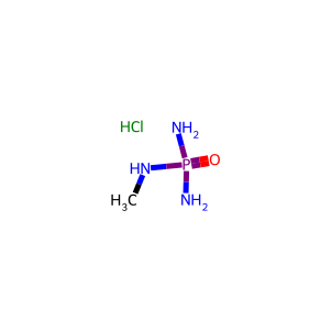 CNP(N)(N)=O.Cl